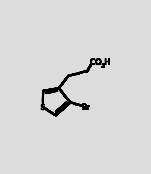 O=C(O)CCc1cscc1Br